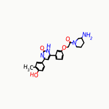 Cc1cc(-c2cc(-c3cccc(OCC(=O)N4CCCC(N)C4)c3)[nH]c(=O)n2)ccc1O